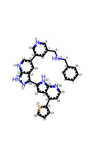 c1ccc(CNCc2cncc(-c3cnc4[nH]nc(-c5cc6c(-c7cccs7)ccnc6[nH]5)c4c3)c2)cc1